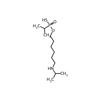 CC(C)NCCCCCCOP(=O)(S)C(C)C